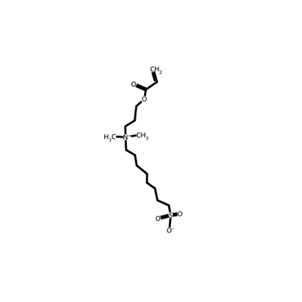 C=CC(=O)OCCC[N+](C)(C)CCCCCCCCS(=O)(=O)[O-]